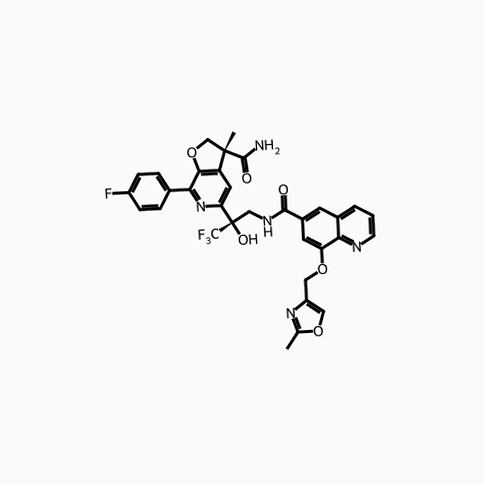 Cc1nc(COc2cc(C(=O)NC[C@](O)(c3cc4c(c(-c5ccc(F)cc5)n3)OC[C@]4(C)C(N)=O)C(F)(F)F)cc3cccnc23)co1